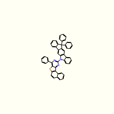 c1ccc(-c2nc(-n3c4ccccc4c4cc5c(cc43)-c3ccccc3C5(c3ccccc3)c3ccccc3)nc3c2sc2ccc4ccccc4c23)cc1